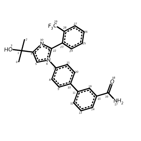 CC(C)(O)c1cn(-c2ccc(-c3cccc(C(N)=O)c3)cc2)c(-c2ccccc2C(F)(F)F)n1